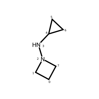 C1CN(NC2CC2)C1